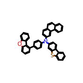 c1ccc2c(c1)ccc1ccc(N(c3ccc(-c4cccc5oc6ccccc6c45)cc3)c3ccc4c(c3)sc3ccccc34)cc12